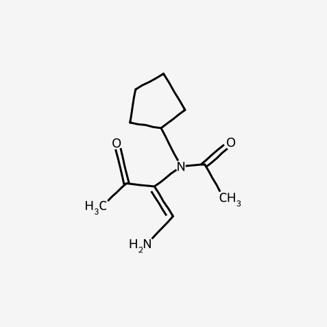 CC(=O)C(=CN)N(C(C)=O)C1CCCC1